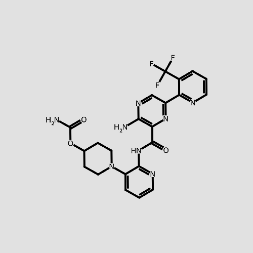 NC(=O)OC1CCN(c2cccnc2NC(=O)c2nc(-c3ncccc3C(F)(F)F)cnc2N)CC1